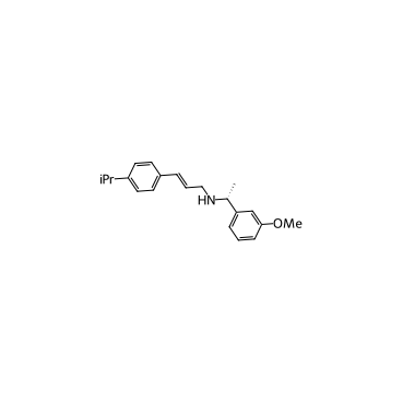 COc1cccc([C@@H](C)NCC=Cc2ccc(C(C)C)cc2)c1